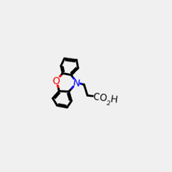 O=C(O)CCN1c2ccccc2Oc2ccccc21